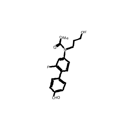 COC(=O)N(CCCO)c1ccc(-c2ccc(C=O)cc2)c(F)c1